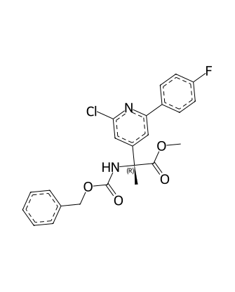 COC(=O)[C@](C)(NC(=O)OCc1ccccc1)c1cc(Cl)nc(-c2ccc(F)cc2)c1